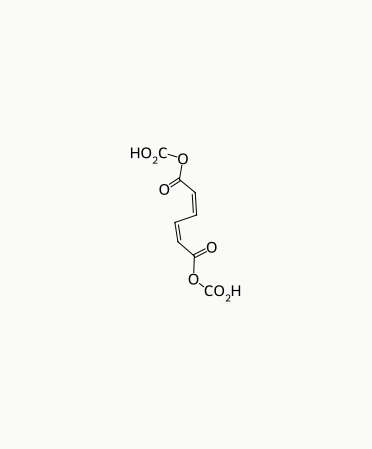 O=C(O)OC(=O)/C=C\C=C/C(=O)OC(=O)O